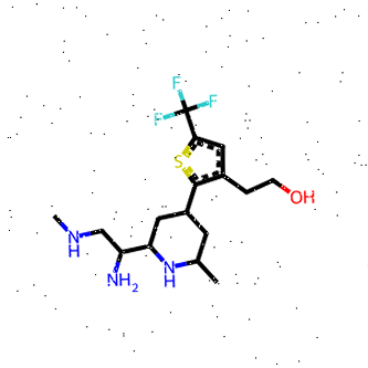 CNCC(N)C1CC(c2sc(C(F)(F)F)cc2CCO)CC(C)N1